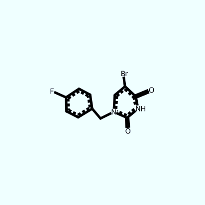 O=c1[nH]c(=O)n(Cc2ccc(F)cc2)cc1Br